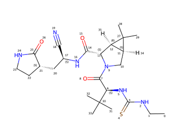 CCNC(=S)N[C@H](C(=O)N1C[C@H]2[C@@H]([C@H]1C(=O)N[C@H](C#N)C[C@@H]1CCNC1=O)C2(C)C)C(C)(C)C